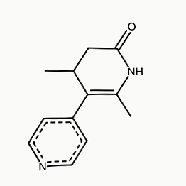 CC1=C(c2ccncc2)C(C)CC(=O)N1